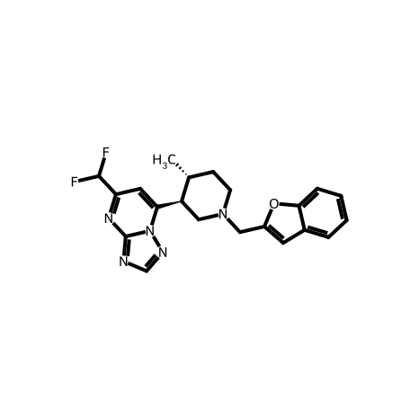 C[C@@H]1CCN(Cc2cc3ccccc3o2)C[C@H]1c1cc(C(F)F)nc2ncnn12